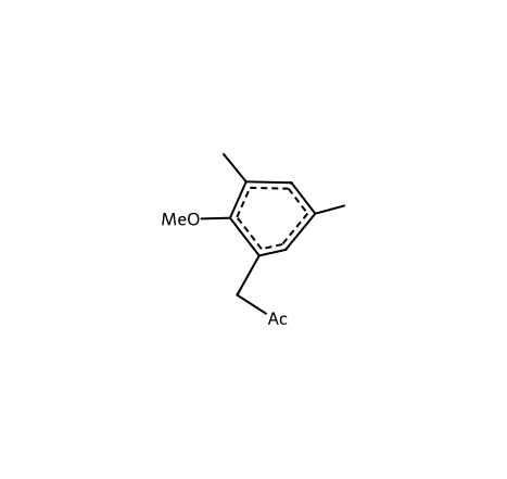 COc1c(C)cc(C)cc1CC(C)=O